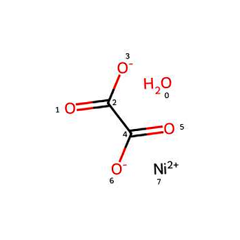 O.O=C([O-])C(=O)[O-].[Ni+2]